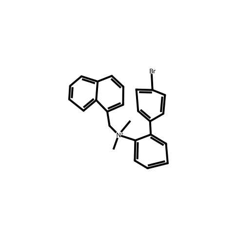 C[N+](C)(Cc1cccc2ccccc12)c1ccccc1-c1ccc(Br)cc1